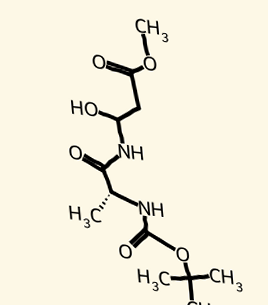 COC(=O)CC(O)NC(=O)[C@@H](C)NC(=O)OC(C)(C)C